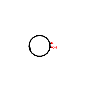 O=C1CCCCCCCCC=CCCCCCCCC1O